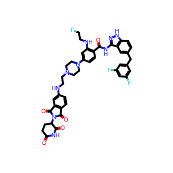 O=C1CCC(N2C(=O)c3ccc(NCCN4CCN(c5ccc(C(=O)Nc6n[nH]c7ccc(Cc8cc(F)cc(F)c8)cc67)c(NCCF)c5)CC4)cc3C2=O)C(=O)N1